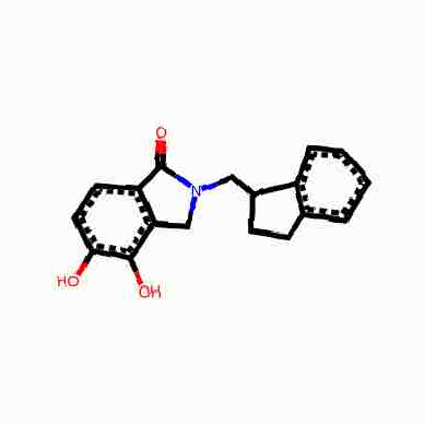 O=C1c2ccc(O)c(O)c2CN1CC1CCc2ccccc21